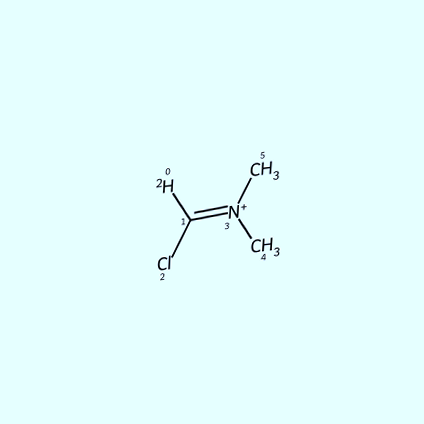 [2H]C(Cl)=[N+](C)C